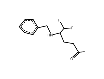 CC(=O)CCC(NCc1ccccc1)C(F)F